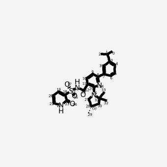 CC(C)c1cccc(-c2ccc(C(=O)NS(=O)(=O)c3ccc[nH]c3=O)c(N3C[C@@H](C)CC3(C)C)n2)c1